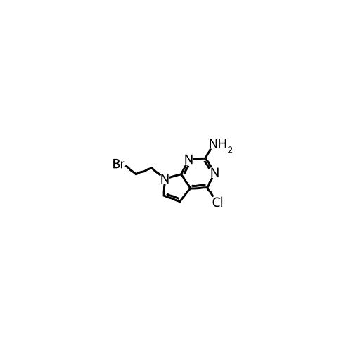 Nc1nc(Cl)c2ccn(CCBr)c2n1